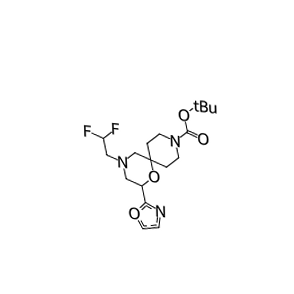 CC(C)(C)OC(=O)N1CCC2(CC1)CN(CC(F)F)CC(c1ncco1)O2